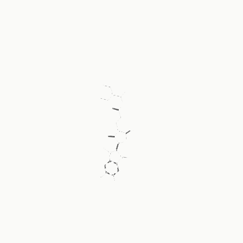 CCN(CC)C(C)OC(=O)CCN1C(=O)C(=C2N(C)c3cc(Cl)c(Cl)cc3N2C)SC1=S